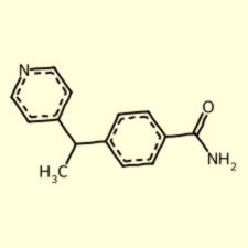 CC(c1ccncc1)c1ccc(C(N)=O)cc1